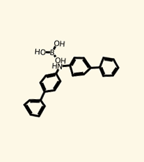 OB(O)O.c1ccc(-c2ccc(Nc3ccc(-c4ccccc4)cc3)cc2)cc1